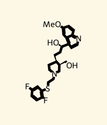 COc1ccc2nccc([C@H](O)CC[C@@H]3CCN(CCSc4cc(F)ccc4F)C[C@@H]3CO)c2c1